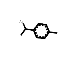 CC(=O)C(C)c1ccc(C)cc1